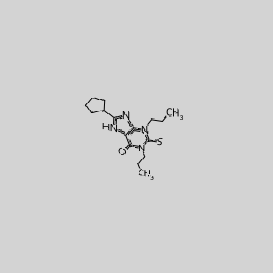 CCCn1c(=O)c2[nH]c(C3CCCC3)nc2n(CCC)c1=S